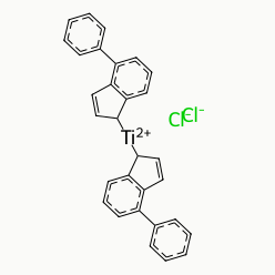 C1=C[CH]([Ti+2][CH]2C=Cc3c(-c4ccccc4)cccc32)c2cccc(-c3ccccc3)c21.[Cl-].[Cl-]